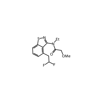 CCN(C(=O)COC)c1nsc2cccc(CC(F)F)c12